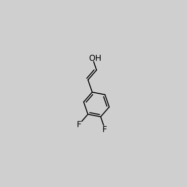 O/C=C/c1ccc(F)c(F)c1